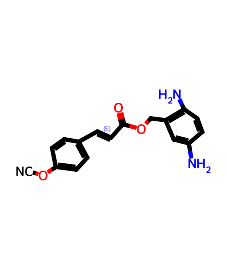 N#COc1ccc(/C=C/C(=O)OCc2cc(N)ccc2N)cc1